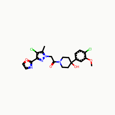 COc1cc(C2(O)CCN(C(=O)Cn3nc(-c4ncco4)c(Cl)c3C)CC2)ccc1Cl